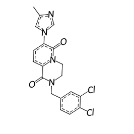 Cc1cn(-c2ccc3n(c2=O)CCN(Cc2ccc(Cl)c(Cl)c2)C3=O)cn1